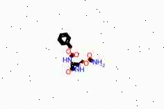 NC(=O)OC[C@H]1NC(=O)[C@H]1NC(=O)OCc1ccccc1